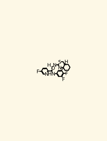 NC1=N[C@@]2(c3cc(NC(=O)c4ccc(F)cn4)cc(F)c3F)CCCC[C@H]2CS1